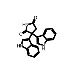 O=C1CC(c2c[nH]c3ccccc23)(c2c[nH]c3ccccc23)C(=O)N1